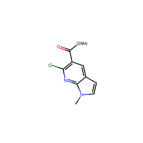 COC(=O)c1cc2ccn(C)c2nc1Cl